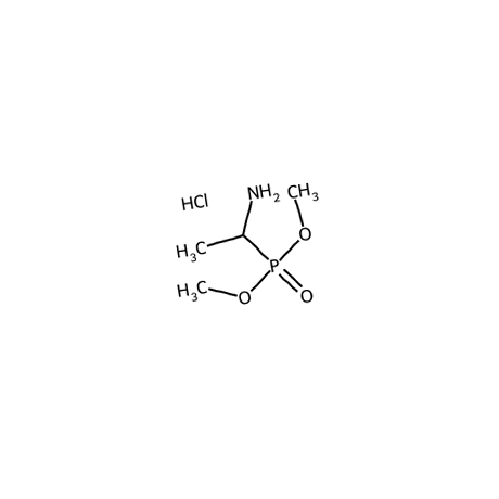 COP(=O)(OC)C(C)N.Cl